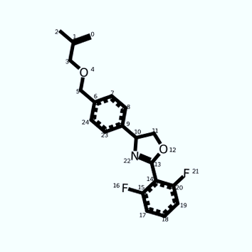 C=C(C)COCc1ccc(C2COC(c3c(F)cccc3F)=N2)cc1